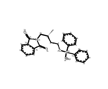 C[C@H](CCO[Si](c1ccccc1)(c1ccccc1)C(C)(C)C)CN1C(=O)c2ccccc2C1=O